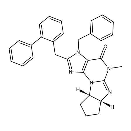 CN1C(=O)c2c(nc(Cc3ccccc3-c3ccccc3)n2Cc2ccccc2)N2C1=N[C@@H]1CCC[C@@H]12